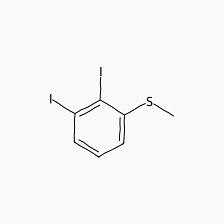 CSc1cccc(I)c1I